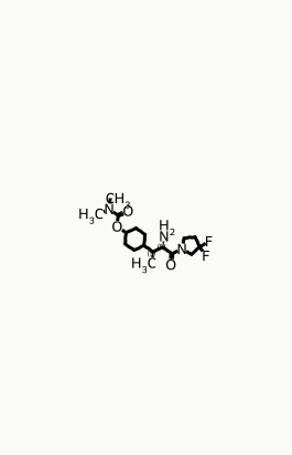 C[C@@H](C1CCC(OC(=O)N(C)C)CC1)[C@H](N)C(=O)N1CCC(F)(F)C1